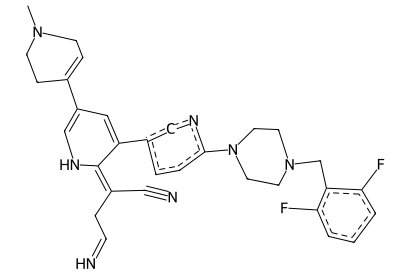 CN1CC=C(C2=CN/C(=C(/C#N)CC=N)C(c3ccc(N4CCN(Cc5c(F)cccc5F)CC4)nc3)=C2)CC1